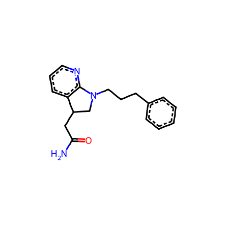 NC(=O)CC1CN(CCCc2ccccc2)c2ncccc21